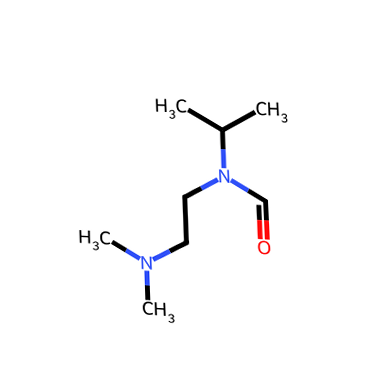 CC(C)N(C=O)CCN(C)C